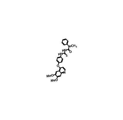 COc1cc2nccc(Oc3ccc(NC(=S)NC(=O)N(C)c4ccccc4)cc3)c2cc1OC